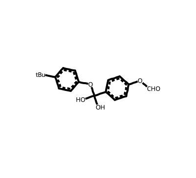 CC(C)(C)c1ccc(OC(O)(O)c2ccc(OC=O)cc2)cc1